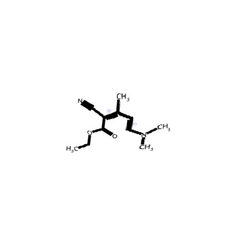 CCOC(=O)/C(C#N)=C(C)\C=C\N(C)C